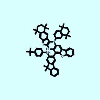 CC(C)(C)c1ccc(Nc2cc3c(cc2-c2c4c(cc5c2oc2ccccc25)N(c2ccc5c(c2)C(C)(C)CCC5(C)C)c2c(sc5cc6c(cc25)C(C)(C)CCC6(C)C)B4)-c2ccccc2C3(C)C)cc1